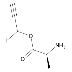 C#CC(I)OC(=O)[C@H](C)N